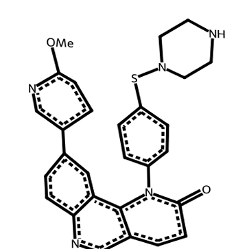 COc1ccc(-c2ccc3ncc4ccc(=O)n(-c5ccc(SN6CCNCC6)cc5)c4c3c2)cn1